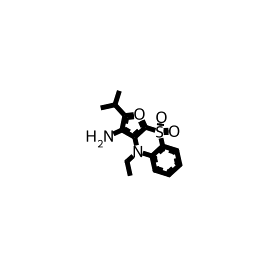 CCN1c2ccccc2S(=O)(=O)c2oc(C(C)C)c(N)c21